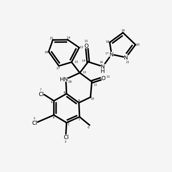 Cc1c(Cl)c(Cl)c(Cl)c2c1CC(=O)C(C(=O)Nn1cccn1)(c1ccccc1)N2